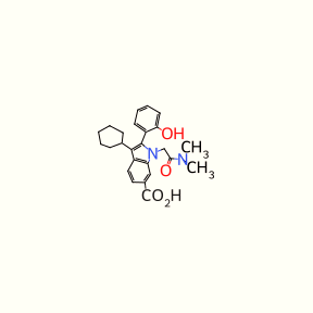 CN(C)C(=O)Cn1c(-c2ccccc2O)c(C2CCCCC2)c2ccc(C(=O)O)cc21